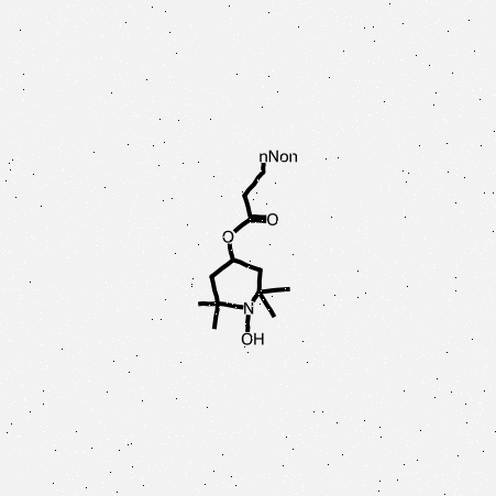 CCCCCCCCCCCC(=O)OC1CC(C)(C)N(O)C(C)(C)C1